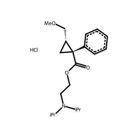 COC[C@H]1C[C@]1(C(=O)OCCN(C(C)C)C(C)C)c1ccccc1.Cl